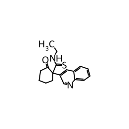 CCNC(=S)C1(c2cnc3ccccc3c2)CCCCC1=O